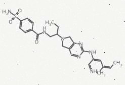 C/C=C(C)\C=C(/C=N)Nc1ncc2c(n1)CN(C(CC)CNC(=O)c1ccc(S(N)(=O)=O)cc1)C2